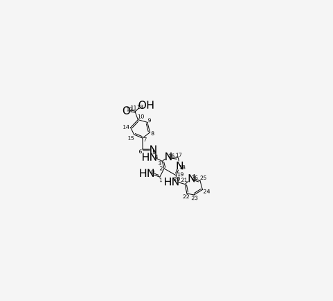 N=Cc1c(N/N=C/c2ccc(C(=O)O)cc2)ncnc1Nc1ccccn1